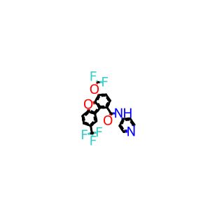 O=C(Nc1ccncc1)c1ccc(OC(F)F)c2oc3ccc(C(F)(F)F)cc3c12